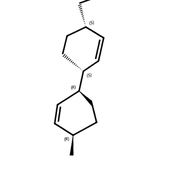 BC[C@@H]1C=C[C@H]([C@@H]2C=C[C@H](C)CC2)CC1